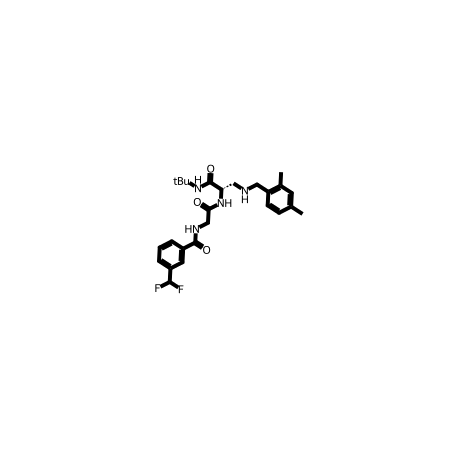 Cc1ccc(CNC[C@H](NC(=O)CNC(=O)c2cccc(C(F)F)c2)C(=O)NC(C)(C)C)c(C)c1